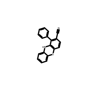 N#Cc1ccc2c(c1-c1ccccc1)Nc1ccccc1S2